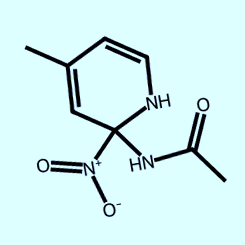 CC(=O)NC1([N+](=O)[O-])C=C(C)C=CN1